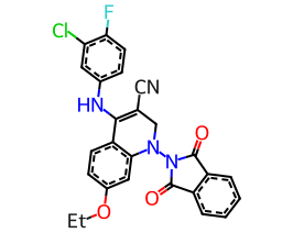 CCOc1ccc2c(c1)N(N1C(=O)c3ccccc3C1=O)CC(C#N)=C2Nc1ccc(F)c(Cl)c1